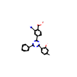 COC(=O)c1ccc(-c2nc(-c3ccccc3)nc(-c3ccc(C)cc3O)n2)cc1C#N